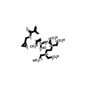 C=C(C)C(=O)OCC1CO1.C=CC(=O)O.NOC=O.O=C(O)CN(CCN(CC(=O)O)CC(=O)O)CC(=O)O